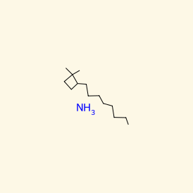 CCCCCCCCC1CCC1(C)C.N